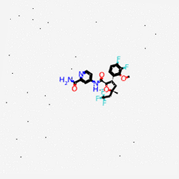 COc1c([C@@H]2C[C@](C)(CC(F)(F)F)O[C@H]2C(=O)Nc2ccnc(C(N)=O)c2)ccc(F)c1F